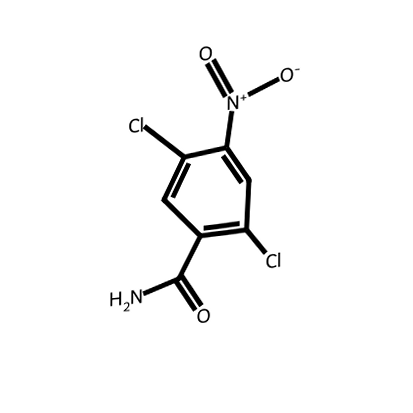 NC(=O)c1cc(Cl)c([N+](=O)[O-])cc1Cl